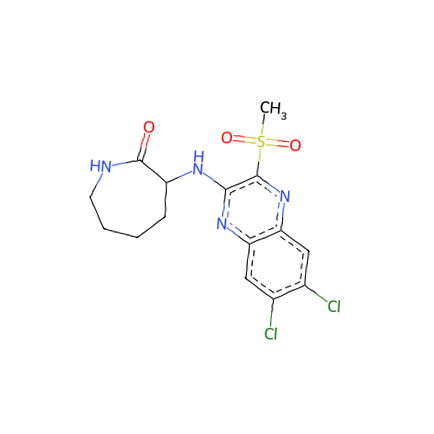 CS(=O)(=O)c1nc2cc(Cl)c(Cl)cc2nc1NC1CCCCNC1=O